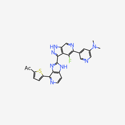 CC(=O)c1ccc(-c2nccc3[nH]c(-c4n[nH]c5cnc(-c6cncc(N(C)C)c6)c(F)c45)nc23)s1